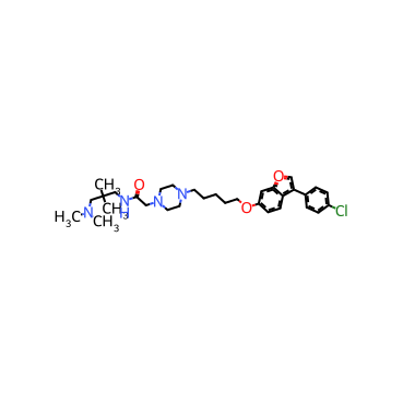 CN(C)CC(C)(C)CNC(=O)CN1CCN(CCCCCOc2ccc3c(-c4ccc(Cl)cc4)coc3c2)CC1